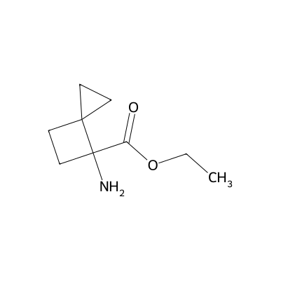 CCOC(=O)C1(N)CCC12CC2